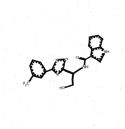 O=C(NC(CO)c1nc(-c2cccc(C(F)(F)F)c2)no1)c1c[nH]c2ccccc12